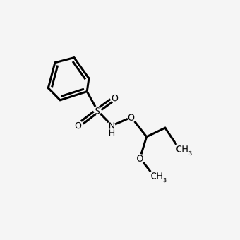 CCC(OC)ONS(=O)(=O)c1ccccc1